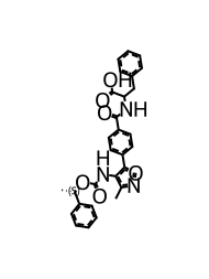 Cc1noc(-c2ccc(C(=O)NC(Cc3ccccc3)C(=O)O)cc2)c1NC(=O)O[C@@H](C)c1ccccc1